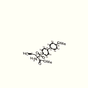 C#CCC(N)(C(=O)OC)S(=O)(=O)c1ccc(-c2ccc(OC)cc2)cc1